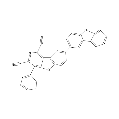 N#Cc1nc(C#N)c2c(oc3ccc(-c4ccc5oc6ccccc6c5c4)cc32)c1-c1ccccc1